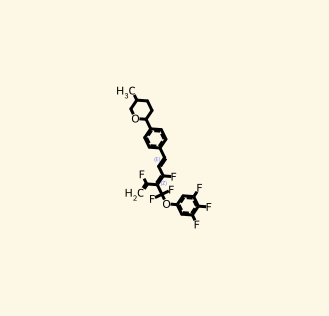 C=C(F)/C(=C(F)\C=C\c1ccc(C2CCC(C)CO2)cc1)C(F)(F)Oc1cc(F)c(F)c(F)c1